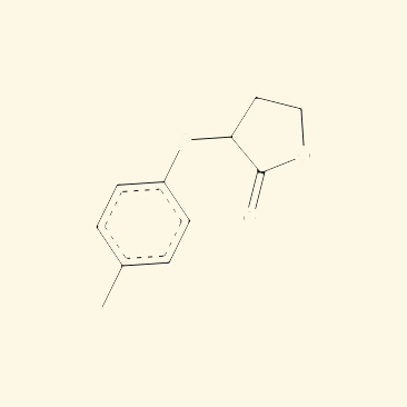 [CH2]c1ccc(SC2CCOC2=O)cc1